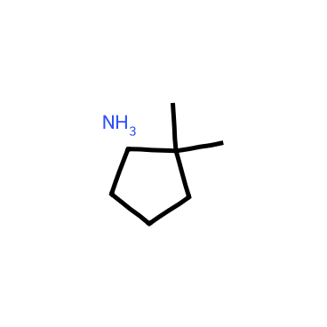 CC1(C)CCCC1.N